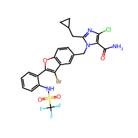 NC(=O)c1c(Cl)nc(CC2CC2)n1Cc1ccc2oc(-c3ccccc3NS(=O)(=O)C(F)(F)F)c(Br)c2c1